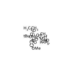 C=C[C@@H]1C[C@]1(NC(=O)[C@@H]1C[C@@H](Oc2nccc3ccc(OC)cc23)CN1C(=O)[C@H](CCC(=O)C=C(C)C)NC(=O)OC(C)(C)C)C(=O)NS(=O)(=O)C1CC1